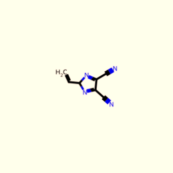 C=C[C]1N=C(C#N)C(C#N)=N1